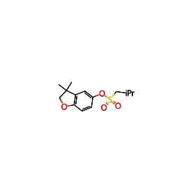 CC(C)CS(=O)(=O)Oc1ccc2c(c1)C(C)(C)CO2